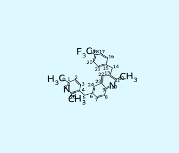 Cc1ccc(Cc2ccc3nc(C)c(Cc4ccc(C(F)(F)F)cc4)cc3c2)c(C)n1